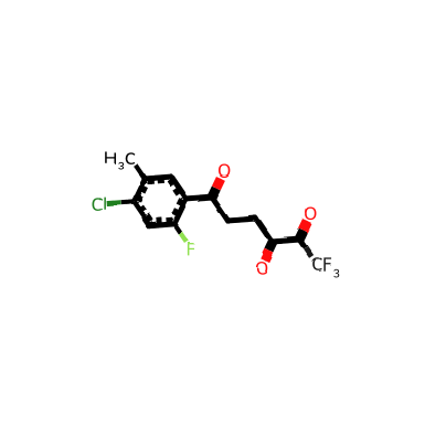 Cc1cc(C(=O)CCC(=O)C(=O)C(F)(F)F)c(F)cc1Cl